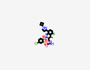 COc1cc(Cl)ccc1S(=O)(=O)N[C@H](c1n[nH]c(=O)o1)[C@H](C)c1c(F)ccc(-c2ccn(C3CCC3)n2)c1C